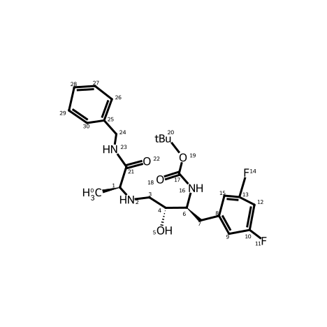 C[C@H](NC[C@@H](O)[C@H](Cc1cc(F)cc(F)c1)NC(=O)OC(C)(C)C)C(=O)NCc1ccccc1